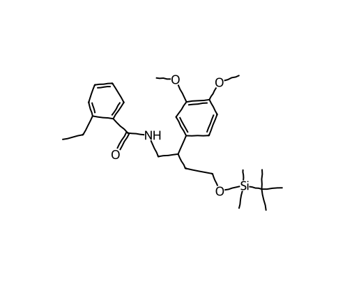 CCc1ccccc1C(=O)NCC(CCO[Si](C)(C)C(C)(C)C)c1ccc(OC)c(OC)c1